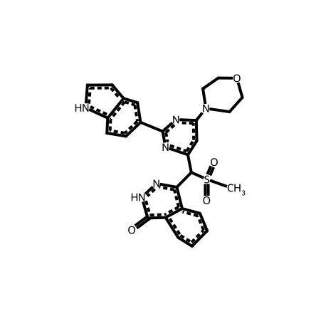 CS(=O)(=O)C(c1cc(N2CCOCC2)nc(-c2ccc3[nH]ccc3c2)n1)c1n[nH]c(=O)c2ccccc12